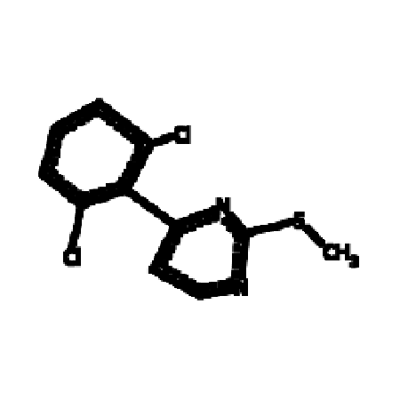 CSc1nccc(-c2c(Cl)cccc2Cl)n1